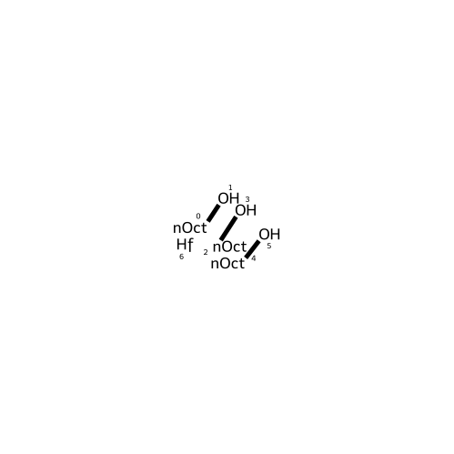 CCCCCCCCO.CCCCCCCCO.CCCCCCCCO.[Hf]